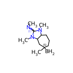 B[C@]1(C)CCCC2C(C1)N(C)/C(=N/C)N2C